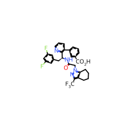 O=C(Cn1nc(C(F)(F)F)c2c1CCCC2)N[C@@H](Cc1cc(F)cc(F)c1)c1ncccc1-c1cccc(C(=O)O)c1